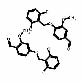 COc1cc(C=O)ccc1OCc1c(F)cccc1Cl.COc1cc(OCc2c(F)cccc2Cl)ccc1C=O